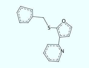 c1ccc(CSc2occc2-c2ccccn2)cc1